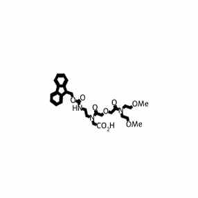 COCCN(CCOC)C(=O)COCC(=O)N(CCNC(=O)OCC1c2ccccc2-c2ccccc21)CC(=O)O